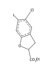 CCOC(=O)C1Cc2cc(Cl)c(I)cc2O1